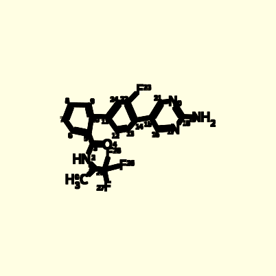 CC(NC(=O)c1ccccc1-c1ccc(-c2cnc(N)nc2)c(F)c1)C(F)(F)F